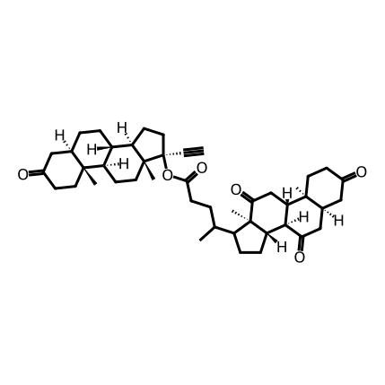 C#C[C@@]1(OC(=O)CCC(C)C2CC[C@H]3[C@@H]4C(=O)C[C@@H]5CC(=O)CC[C@]5(C)[C@H]4CC(=O)[C@]23C)CC[C@@H]2[C@H]3CC[C@@H]4CC(=O)CC[C@@]4(C)[C@@H]3CC[C@]21C